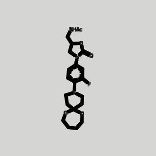 CC(=O)NCC1CN(c2ccc(N3CCC4(CC3)OCCCCO4)c(F)c2)C(=O)O1